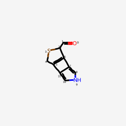 O=CC1SCC2=C1c1c[nH]cc12